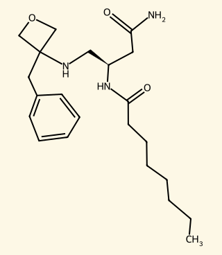 CCCCCCCC(=O)N[C@@H](CNC1(Cc2ccccc2)COC1)CC(N)=O